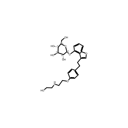 OCCNCCOc1ccc(CCc2coc3cccc(O[C@@H]4O[C@H](CO)[C@@H](O)[C@H](O)[C@H]4O)c23)cc1